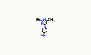 CCC(C)c1nc(C)cc(N2CCc3ncsc3C2)n1